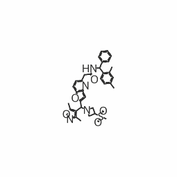 Cc1ccc(C(NC(=O)Cc2ccc3oc(C(c4c(C)noc4C)N4CC(S(C)(=O)=O)C4)cc3n2)c2ccccc2)c(C)c1